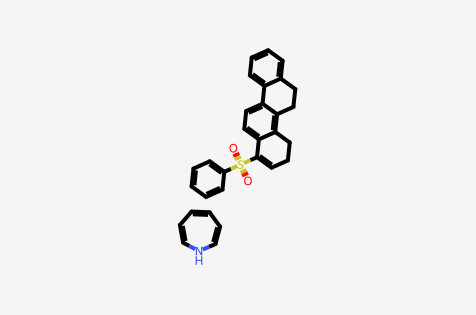 C1=CC=CNC=C1.O=S(=O)(C1=CCCc2c1ccc1c2CCc2ccccc2-1)c1ccccc1